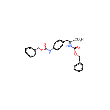 O=C(Nc1ccc(C[C@H](NC(=O)OCc2ccccc2)C(=O)O)cc1)OCc1ccccc1